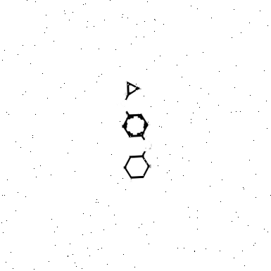 c1cc(SC2CC2)ccc1OC1CCCCC1